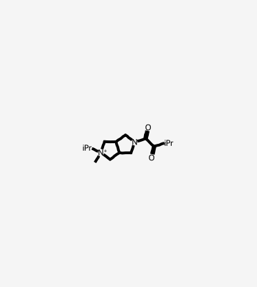 CC(C)C(=O)C(=O)N1CC2C[N+](C)(C(C)C)CC2C1